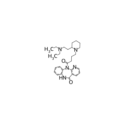 CCN(CC)CCC1CCCCN1CCCC(=O)N1c2ccccc2NC(=O)c2cccnc21